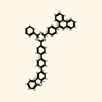 C1=CCCC(c2nc(-c3ccc(-c4ccc(-c5ccc6oc7ccccc7c6c5)cc4)cc3)nc(-c3ccc(-c4cc5ccccc5c5ccccc45)cc3)n2)=C1